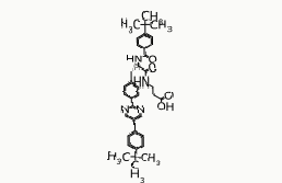 CC(C)(C)c1ccc(C(=O)N[C@@H](Cc2ccc(-c3ncc(-c4ccc(C(C)(C)C)cc4)cn3)cc2)C(=O)NCCC(=O)O)cc1